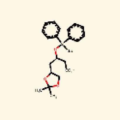 CC1(C)OC[C@H](C[C@H](CC(=O)O)O[Si](c2ccccc2)(c2ccccc2)C(C)(C)C)O1